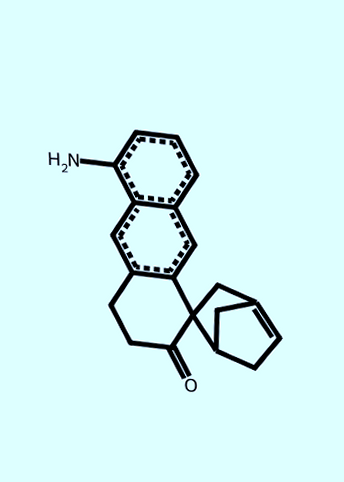 Nc1cccc2cc3c(cc12)CCC(=O)C31CC2=CCC1C2